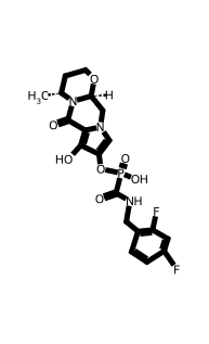 C[C@@H]1CCO[C@H]2Cn3cc(OP(=O)(O)C(=O)NCc4ccc(F)cc4F)c(O)c3C(=O)N12